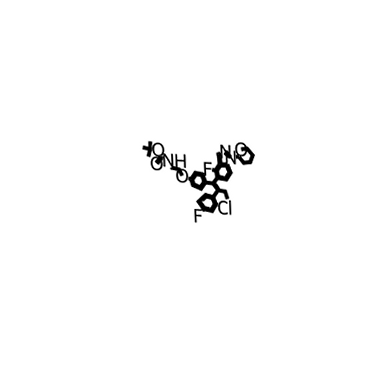 CC/C(=C(/c1ccc(OCCNC(=O)OC(C)(C)C)cc1)c1ccc2c(cnn2C2CCCCO2)c1F)c1ccc(F)cc1Cl